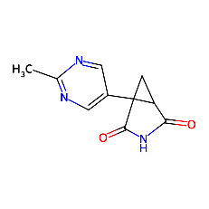 Cc1ncc(C23CC2C(=O)NC3=O)cn1